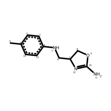 Cc1ccc(NCC2COC(N)=N2)cc1